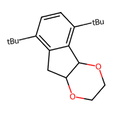 CC(C)(C)c1ccc(C(C)(C)C)c2c1CC1OCCOC21